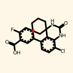 O=C1Nc2c(Cl)ccc(-c3ccc(F)c(C(=O)O)c3)c2C2(CCCCC2)N1